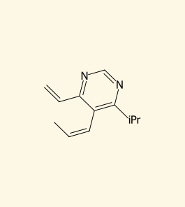 C=Cc1ncnc(C(C)C)c1/C=C\C